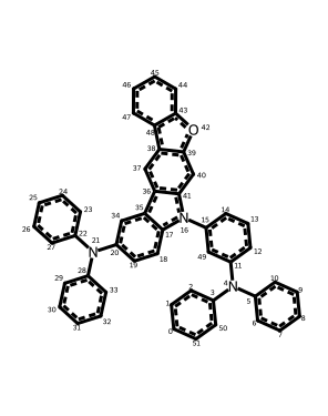 c1ccc(N(c2ccccc2)c2cccc(-n3c4ccc(N(c5ccccc5)c5ccccc5)cc4c4cc5c(cc43)oc3ccccc35)c2)cc1